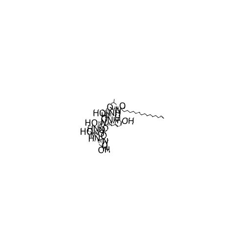 CCCCCCCCCCCCCCCC(=O)N[C@@H](CC(C)C)C(=O)N[C@H](C(=O)N[C@@H](Cc1ccc(O)cc1)C(=O)N[C@@H](CO)C(=O)N[C@H](C(=O)N[C@@H](CC(=O)O)C(=O)NC)[C@@H](C)O)[C@H](C)O